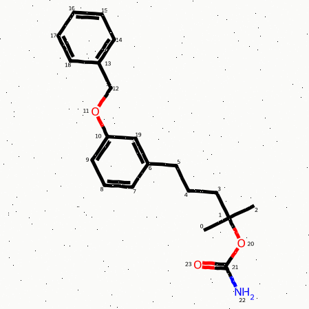 CC(C)(CCCc1cccc(OCc2ccccc2)c1)OC(N)=O